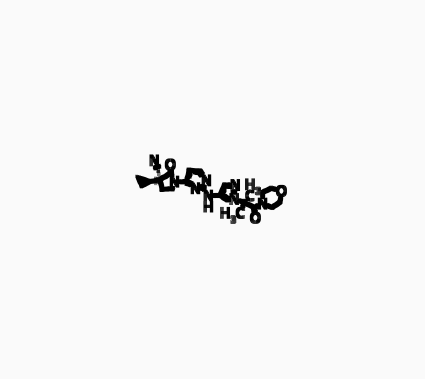 CC(C)(C(=O)N1CCOCC1)n1cc(Nc2nccc(N3CC[C@@](C#N)(C4CC4)C3=O)n2)cn1